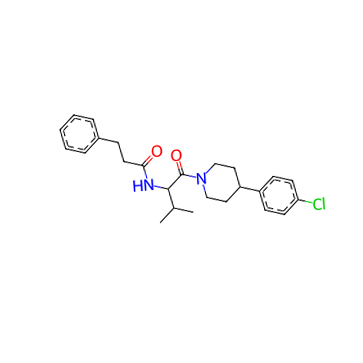 CC(C)C(NC(=O)CCc1ccccc1)C(=O)N1CCC(c2ccc(Cl)cc2)CC1